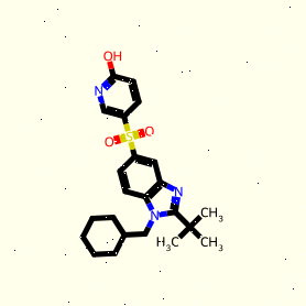 CC(C)(C)c1nc2cc(S(=O)(=O)c3ccc(O)nc3)ccc2n1CC1CCCCC1